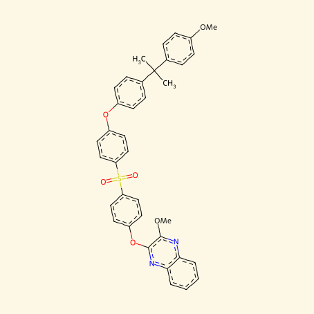 COc1ccc(C(C)(C)c2ccc(Oc3ccc(S(=O)(=O)c4ccc(Oc5nc6ccccc6nc5OC)cc4)cc3)cc2)cc1